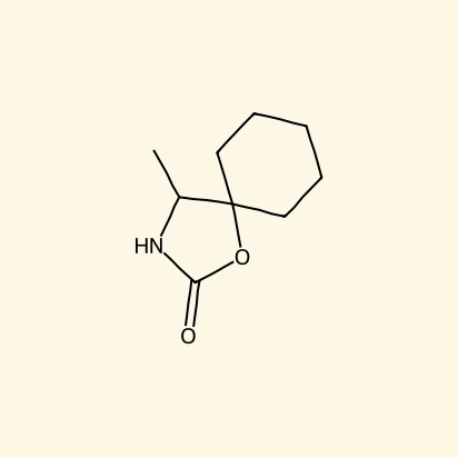 CC1NC(=O)OC12CCCCC2